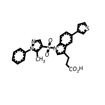 Cc1c(S(=O)(=O)n2cc(CCC(=O)O)c3cc(-c4ccsc4)ccc32)cnn1-c1ccccc1